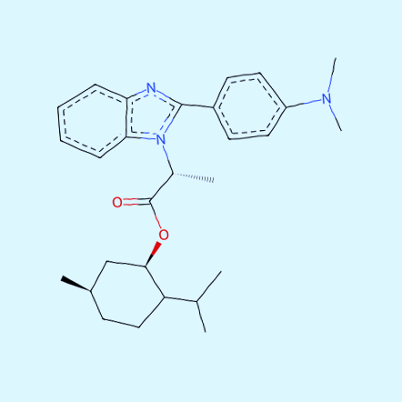 CC(C)C1CC[C@@H](C)C[C@H]1OC(=O)[C@@H](C)n1c(-c2ccc(N(C)C)cc2)nc2ccccc21